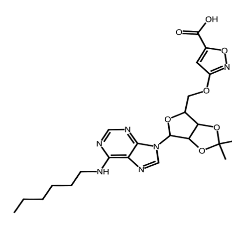 CCCCCCNc1ncnc2c1ncn2C1OC(COc2cc(C(=O)O)on2)C2OC(C)(C)OC21